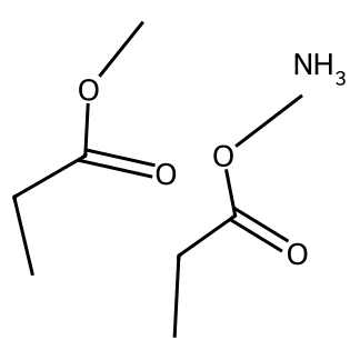 CCC(=O)OC.CCC(=O)OC.N